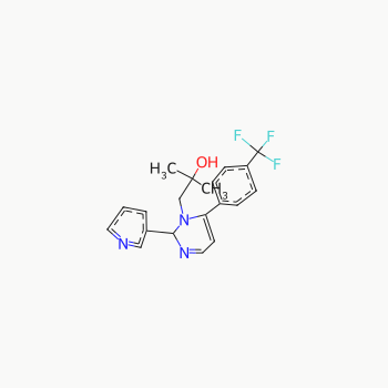 CC(C)(O)CN1C(c2ccc(C(F)(F)F)cc2)=CC=NC1c1cccnc1